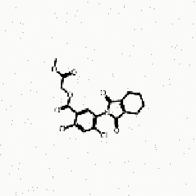 COC(=O)COC(=O)c1cc(N2C(=O)C3=C(CCCC3)C2=O)c(Cl)cc1Cl